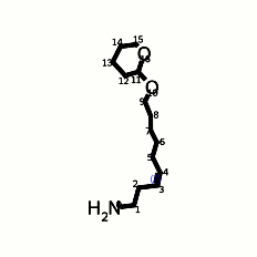 NCC/C=C\CCCCCOC1CCCCO1